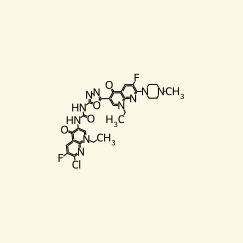 CCn1cc(NC(=O)Nc2nnc(-c3cn(CC)c4nc(N5CCN(C)CC5)c(F)cc4c3=O)o2)c(=O)c2cc(F)c(Cl)nc21